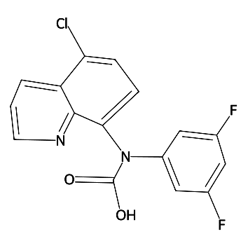 O=C(O)N(c1cc(F)cc(F)c1)c1ccc(Cl)c2cccnc12